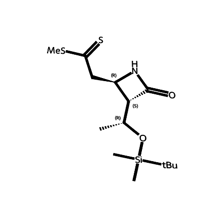 CSC(=S)C[C@H]1NC(=O)[C@@H]1[C@@H](C)O[Si](C)(C)C(C)(C)C